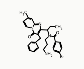 CCC(c1nc2cc(C)ccn2c(=O)c1Cc1ccccc1)N(CCCN)C(=O)c1ccc(Br)cc1